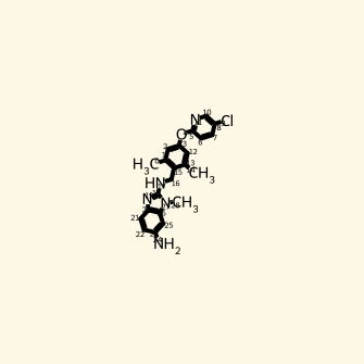 Cc1cc(Oc2ccc(Cl)cn2)cc(C)c1CNc1nc2ccc(N)cc2n1C